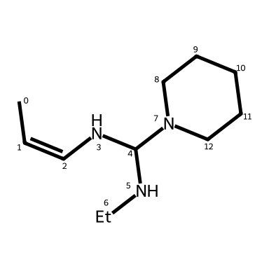 C/C=C\NC(NCC)N1CCCCC1